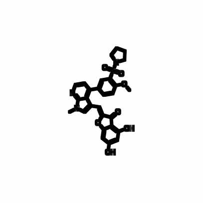 COc1ccc(-c2ccnc3c2c(/C=C2\Oc4cc(O)cc(O)c4C2=O)cn3C)cc1S(=O)(=O)N1CCCC1